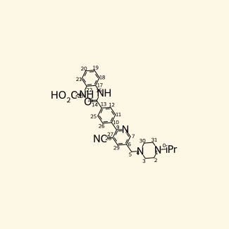 CC(C)N1CCN(Cc2cnc(-c3ccc(C(=O)Nc4ccccc4NC(=O)O)cc3)c(C#N)c2)CC1